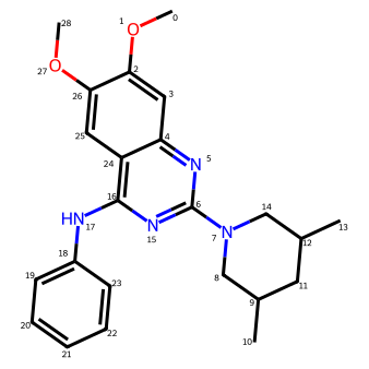 COc1cc2nc(N3CC(C)CC(C)C3)nc(Nc3ccccc3)c2cc1OC